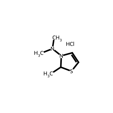 CC1SC=CN1N(C)C.Cl